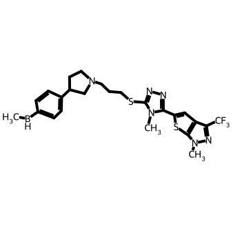 CBc1ccc(C2CCN(CCCSc3nnc(-c4cc5c(C(F)(F)F)nn(C)c5s4)n3C)C2)cc1